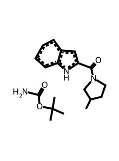 CC(C)(C)OC(N)=O.CC1CCN(C(=O)c2cc3ccccc3[nH]2)C1